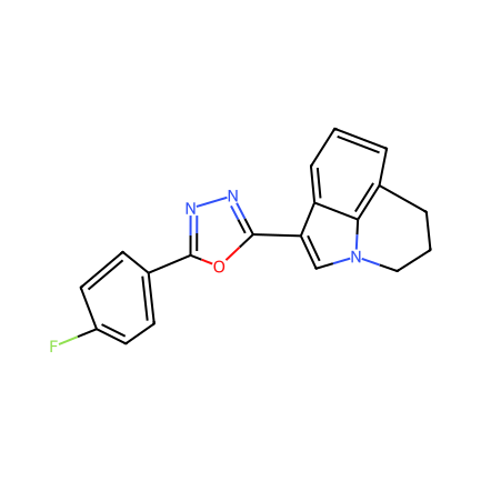 Fc1ccc(-c2nnc(-c3cn4c5c(cccc35)CCC4)o2)cc1